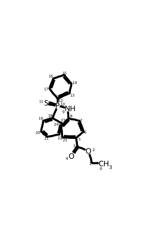 CCOC(=O)c1ccc(NP(=S)(c2ccccc2)c2ccccc2)cc1